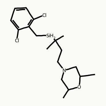 CC1CN(CCC(C)(C)[SiH2]Cc2c(Cl)cccc2Cl)CC(C)O1